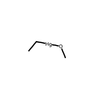 C[CH2][Hg][O]C